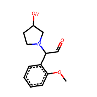 COc1ccccc1C(C=O)N1CCC(O)C1